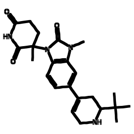 Cn1c(=O)n(C2(C)CCC(=O)NC2=O)c2ccc(C3=CCNC(C(C)(C)C)C3)cc21